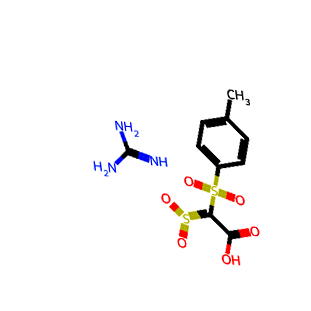 Cc1ccc(S(=O)(=O)C(C(=O)O)=S(=O)=O)cc1.N=C(N)N